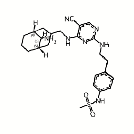 CS(=O)(=O)Nc1ccc(CCNc2ncc(C#N)c(NCC3C[C@H]4CCC[C@@H](C3)[C@@H]4N)n2)cc1